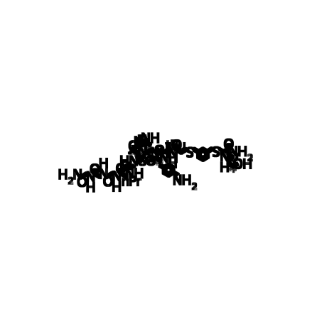 CCC[C@H](NC(=O)CNC(=O)[C@@H](NC(=O)[C@H](Cc1cnc[nH]1)NC(=O)[C@H](Cc1ccc(CN)cc1)NC(=O)C(NC(=O)CCSCc1cccc(CSC[C@H](NC(=O)C[C@@H](C)O)C(N)=O)c1)C(C)(C)C)[C@@H](C)O)C(=O)NCC(=O)NCC(=O)NCC(N)=O